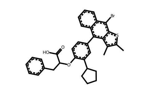 Cc1sc2c(Br)c3ccccc3c(-c3ccc(OC(Cc4ccccc4)C(=O)O)c(C4CCCC4)c3)c2c1C